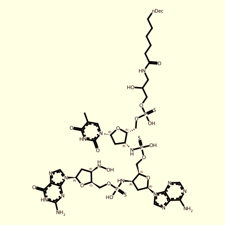 CCCCCCCCCCCCCCCC(=O)NCC(O)COP(O)(=S)OC[C@H]1O[C@@H](n2cc(C)c(=O)[nH]c2=O)C[C@H]1NP(O)(=S)OC[C@H]1O[C@@H](n2cnc3c(N)ncnc32)C[C@H]1NP(O)(=S)OC[C@H]1O[C@@H](n2cnc3c(=O)[nH]c(N)nc32)C[C@H]1NO